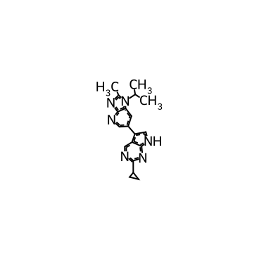 Cc1nc2ncc(-c3c[nH]c4nc(C5CC5)ncc34)cc2n1C(C)C